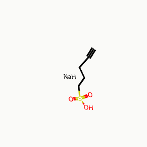 C#CCCCS(=O)(=O)O.[NaH]